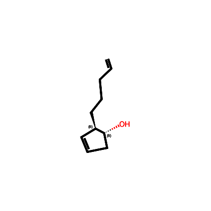 C=CCCC[C@@H]1C=CC[C@H]1O